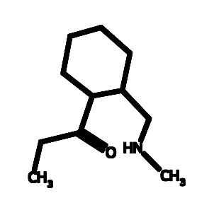 CCC(=O)C1CCCCC1CNC